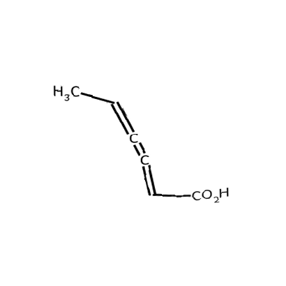 CC=C=C=CC(=O)O